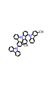 N#Cc1cc(-c2ccccc2-n2c3ccccc3c3c(-n4c5ccccc5c5cc(C#N)ccc54)cccc32)cc(-n2c3ccccc3c3ccccc32)c1